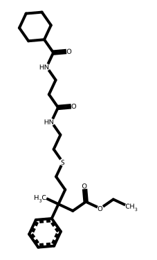 CCOC(=O)CC(C)(CCSCCNC(=O)CCNC(=O)C1CCCCC1)c1ccccc1